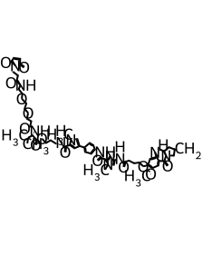 C=C1C[C@H]2C=Nc3cc(OCCCC(=O)Nc4cn(C)c(C(=O)Nc5ccc(-c6cc(C(=O)NCCCOC(=O)[C@@H](NC(=O)CCOCCOCCNC(=O)CCN7C(=O)C=CC7=O)C(C)C)n(C)c6)cc5)n4)c(OC)cc3C(=O)N2C1